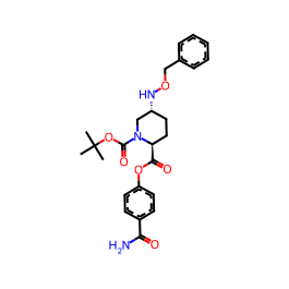 CC(C)(C)OC(=O)N1C[C@H](NOCc2ccccc2)CC[C@H]1C(=O)Oc1ccc(C(N)=O)cc1